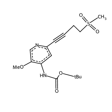 COc1cnc(C#CCCS(C)(=O)=O)cc1NC(=O)OC(C)(C)C